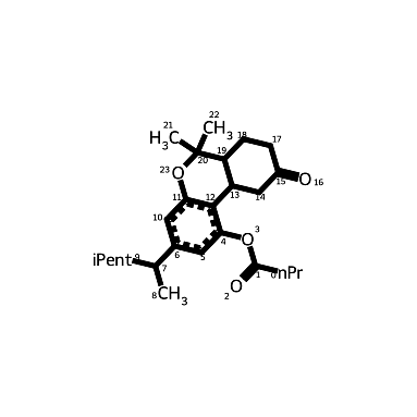 CCCC(=O)Oc1cc(C(C)C(C)CCC)cc2c1C1CC(=O)CCC1C(C)(C)O2